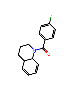 O=C(c1ccc(F)cc1)N1CCCC2C=CC=CC21